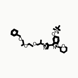 CC(COCc1ccccc1)OCCOCC(C)n1cc(-c2nn(C3CCCCO3)c3ccc(O[Si](C)(C)C(C)(C)C)cc23)cn1